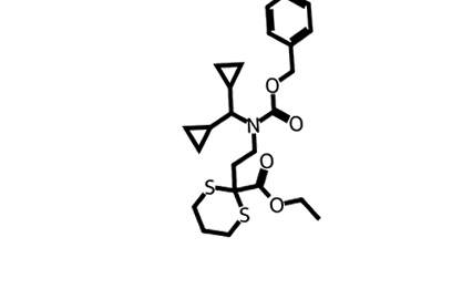 CCOC(=O)C1(CCN(C(=O)OCc2ccccc2)C(C2CC2)C2CC2)SCCCS1